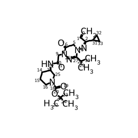 C=C/C(=N\N1CC(=O)N(CC(=O)NC2CCCN(C(=O)OC(C)(C)C)C2)N=C1C(C)C)C1CC1